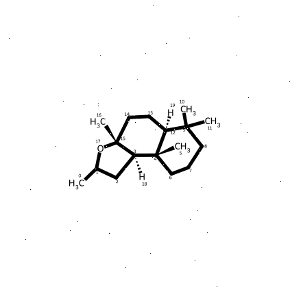 CC1C[C@@H]2[C@@]3(C)CCCC(C)(C)[C@@H]3CC[C@@]2(C)O1